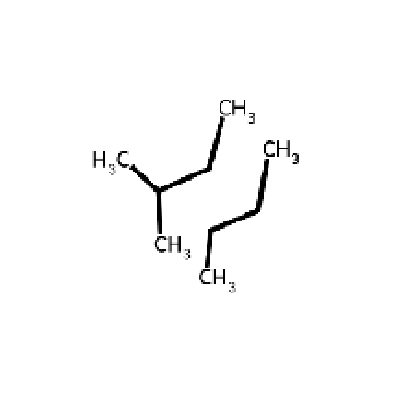 CCC(C)C.CCCC